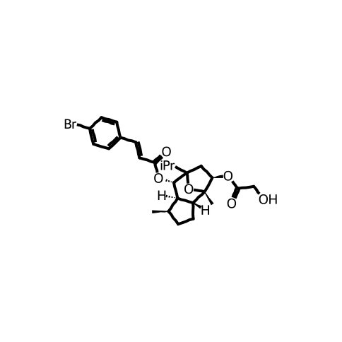 CC(C)C12C[C@@H](OC(=O)CO)[C@@](C)(O1)[C@@H]1CC[C@@H](C)[C@H]1[C@@H]2OC(=O)/C=C/c1ccc(Br)cc1